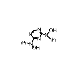 CC(C)N(O)c1ncnc(N(O)C(C)C)n1